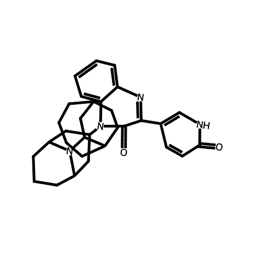 O=c1ccc(-c2nc3ccccc3n(C3CC4CCCC(C3)N4C3CC4CCCCC3CC4)c2=O)c[nH]1